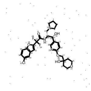 O=C(N[C@H](CN1CCCC1)[C@H](O)c1ccc(OCC2(O)CCOCC2)nc1)C(F)(F)c1cc2cc(Cl)ccc2o1